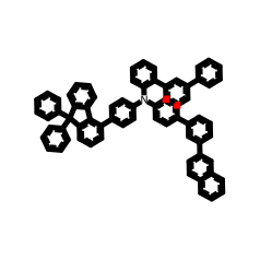 c1ccc(-c2cccc(-c3ccccc3N(c3ccc(-c4cccc(-c5ccc6ccccc6c5)c4)cc3)c3ccc(-c4cccc5c4-c4ccccc4C5(c4ccccc4)c4ccccc4)cc3)c2)cc1